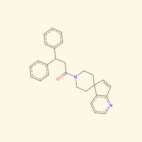 O=C(CC(c1ccccc1)c1ccccc1)N1CCC2(C=Cc3ncccc32)CC1